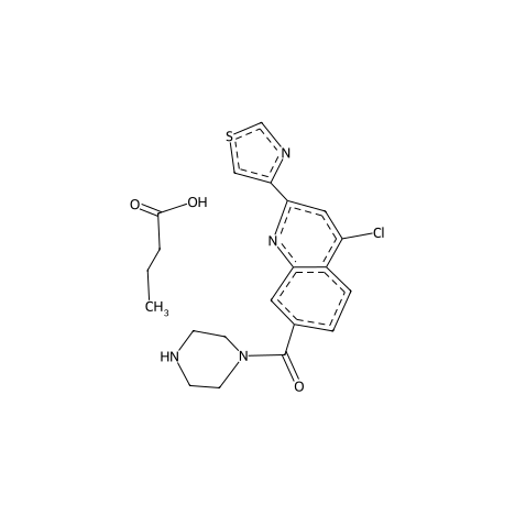 CCCC(=O)O.O=C(c1ccc2c(Cl)cc(-c3cscn3)nc2c1)N1CCNCC1